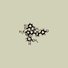 CCc1cccc(CC)c1-n1c(CC(C)C)c(C(=O)N2CCN[C@H](C)C2)cc(-c2nc(-c3ccc(Cl)cc3)cs2)c1=O